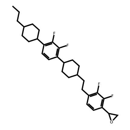 CCCC1CCC(c2ccc(C3CCC(CCc4ccc(C5CO5)c(F)c4F)CC3)c(F)c2F)CC1